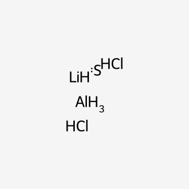 Cl.Cl.[AlH3].[LiH].[S]